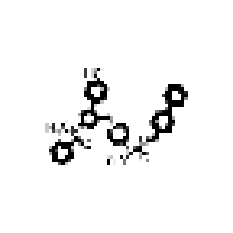 CCCN(C(=O)OCc1ccc(-c2ccccc2)cc1)C1CCN(CC2CC(N(C)C(=O)c3ccccc3)CC2c2ccccc2)CC1.Cl